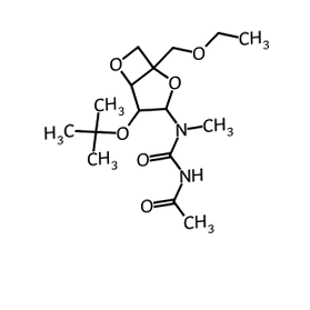 CCOCC12COC1C(OC(C)(C)C)C(N(C)C(=O)NC(C)=O)O2